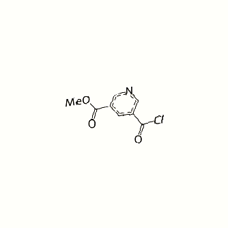 COC(=O)c1cncc(C(=O)Cl)c1